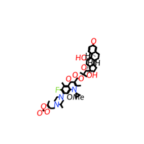 COc1c(N2CCN(Cc3oc(=O)oc3C)C(C)C2)c(F)c(C)c2c(=O)c(C(=O)OC(C)(C)C(=O)[C@@]3(O)CC[C@H]4[C@@H]5CCC6=CC(=O)C=C[C@]6(C)[C@H]5[C@@H](O)C[C@@]43C)c(C)n(C3CC3)c12